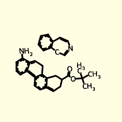 C1=Cc2ccccc2CC=N1.CC(C)(C)OC(=O)C1CC=c2ccc3c(c2C1)CC=c1c(N)cccc1=3